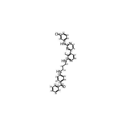 Cc1c(-c2ccnc(Nc3cccc(Cl)c3)n2)ccnc1NCCCNc1ccc(C(=O)c2ccccc2)cc1